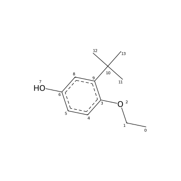 CCOc1ccc(O)cc1C(C)(C)C